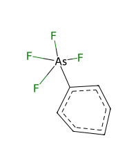 F[As](F)(F)(F)c1ccccc1